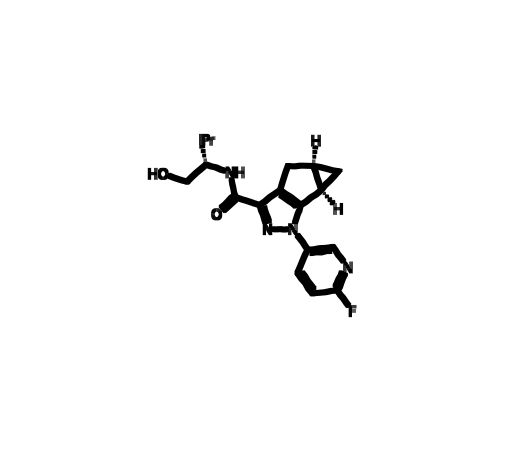 CC(C)[C@@H](CO)NC(=O)c1nn(-c2ccc(F)nc2)c2c1C[C@H]1C[C@@H]21